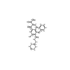 O=C(O)c1cn2c3c(c(NCCN4CCOCC4)c(F)cc3c1=O)Oc1ccccc1-2